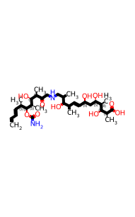 C=CC=C[C@H](C)[C@H](OC(N)=O)[C@@H](C)[C@H](O)[C@@H](C)C(=O)CNCC(C)C(O)C(C)C=C[C@@H](O)C[C@H](O)[C@@H](C)[C@H](O)[C@@H](C)C(=O)O